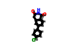 O=C1Cc2cc(-c3ccc(Cl)cc3)ccc2C(=O)N1